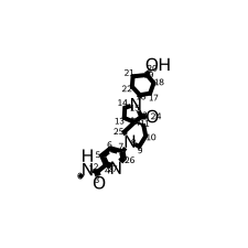 CNC(=O)c1ccc(N2CCC[C@]3(CCN(C4CCC(O)CC4)C3=O)C2)cn1